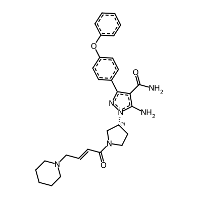 NC(=O)c1c(-c2ccc(Oc3ccccc3)cc2)nn([C@@H]2CCN(C(=O)C=CCN3CCCCC3)C2)c1N